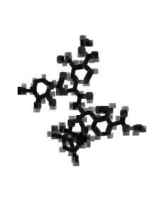 CCN1CCN(C(=O)NC(C(=O)NC(Cc2cccc(C(=O)OC(C)(C)C)c2OC)B2O[C@@H]3C[C@@H]4C[C@@H](C4(C)C)[C@]3(C)O2)c2ccc(C(=O)OC(C)(C)C)c([N+](=O)[O-])c2)C(=O)C1=O